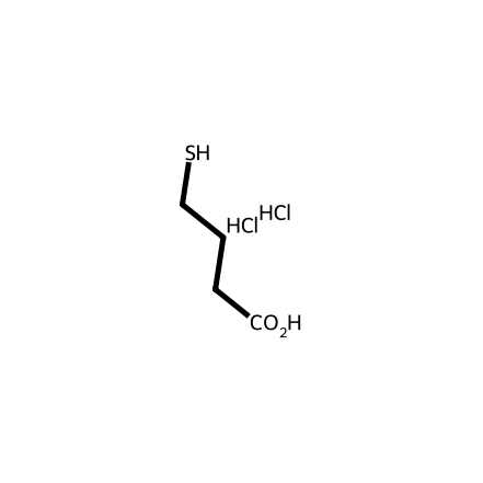 Cl.Cl.O=C(O)CCCS